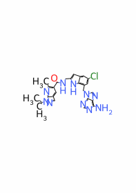 Cc1nc2c(cnn2C(C)C)cc1C(=O)NCc1cc2cc(Cl)cc(Cn3cnc4c(N)ncnc43)c2[nH]1